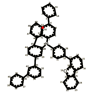 c1ccc(-c2ccc(N(c3ccc(-c4cccc5c4oc4ccccc45)cc3)c3cc(-c4cccc(-c5ccccc5)c4)ccc3-c3ccccc3)cc2)cc1